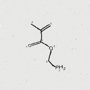 C=C(C)C(=O)OCP